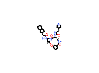 CN1CC[C@H](NC(=O)CCc2ccncc2)C(=O)N2C[C@@H](NC(=O)Cc3ccc4ccccc4c3)C[C@H]2COc2cccc(c2)C1=O